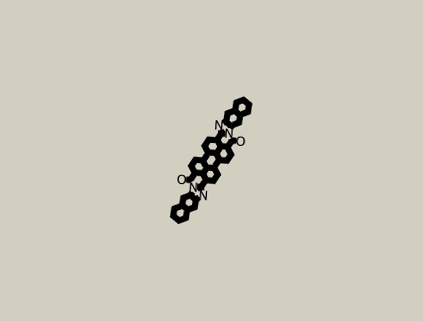 O=c1c2ccc3c4ccc5c6c(ccc(c7ccc(c2c37)c2nc3cc7ccccc7cc3n12)c46)c(=O)n1c2cc3ccccc3cc2nc51